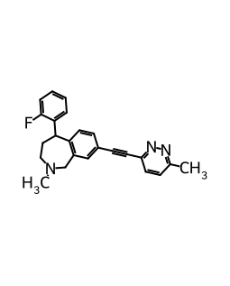 Cc1ccc(C#Cc2ccc3c(c2)CN(C)CCC3c2ccccc2F)nn1